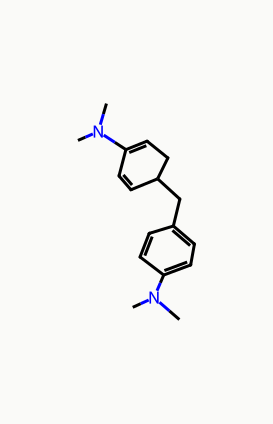 CN(C)C1=CCC(Cc2ccc(N(C)C)cc2)C=C1